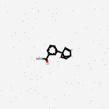 COC(=O)c1cccc(C23C=CC(CC2)C3)c1